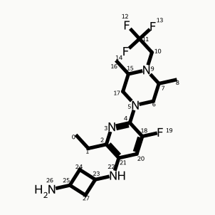 CCc1nc(N2CC(C)N(CC(F)(F)F)C(C)C2)c(F)cc1NC1CC(N)C1